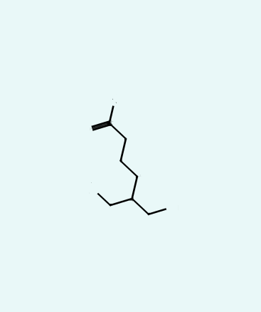 CCC(CC)CCCC(N)=O